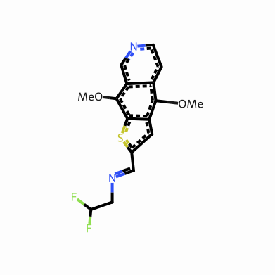 COc1c2ccncc2c(OC)c2sc(C=NCC(F)F)cc12